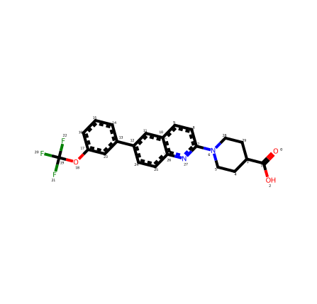 O=C(O)C1CCN(c2ccc3cc(-c4cccc(OC(F)(F)F)c4)ccc3n2)CC1